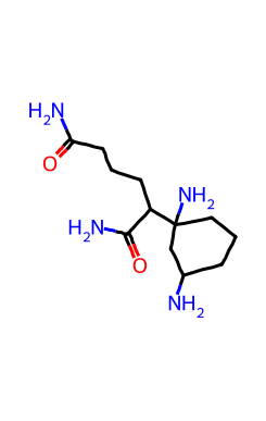 NC(=O)CCCC(C(N)=O)C1(N)CCCC(N)C1